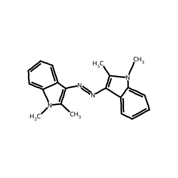 Cc1c(N=Nc2c(C)n(C)c3ccccc23)c2ccccc2n1C